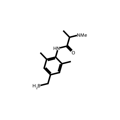 BCc1cc(C)c(NC(=O)C(C)NC)c(C)c1